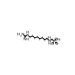 N=C(N)NCCCCCCCCNCP(=O)(O)O